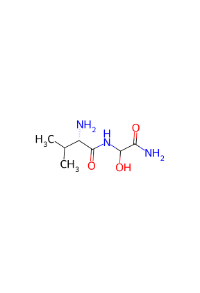 CC(C)[C@H](N)C(=O)NC(O)C(N)=O